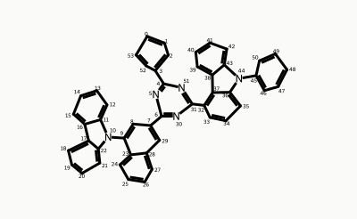 c1ccc(-c2nc(-c3cc(-n4c5ccccc5c5ccccc54)c4ccccc4c3)nc(-c3cccc4c3c3ccccc3n4-c3ccccc3)n2)cc1